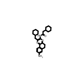 Nc1ccc2c(c1)CCc1nc(NC(=O)CC3CCCCC3)c(CC3CCCCC3)nc1-2